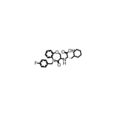 O=C(O)[C@H](CC1CCCCC1)NC1COc2ccccc2N(Cc2ccc(F)cc2)C1=O